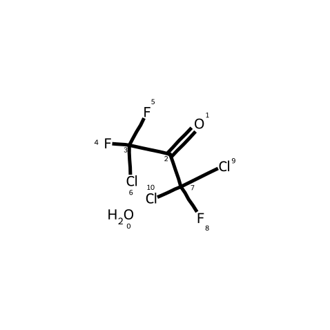 O.O=C(C(F)(F)Cl)C(F)(Cl)Cl